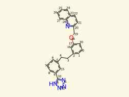 c1cc(CCc2cccc(-c3nnn[nH]3)c2)cc(OCc2ccc3ccccc3n2)c1